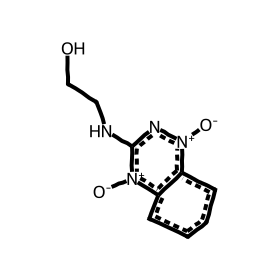 [O-][n+]1nc(NCCO)[n+]([O-])c2ccccc21